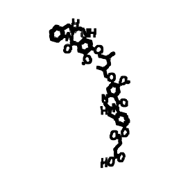 COc1cc2c(cc1OCC(C)CC(C)COc1cc3c(cc1OC)C(=O)N1c4ccccc4C[C@H]1CN3)N=C[C@@H]1Cc3cc(OC(=O)CCC(=O)O)ccc3N1C2=O